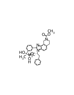 COC(=O)N1CCc2ccc3c(nc(-c4cccc([C@](C)(O)C(=O)O)c4)n3[C@@H](C)Cc3ccccc3)c2C1